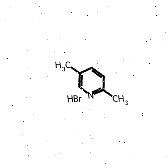 Br.Cc1ccc(C)nc1